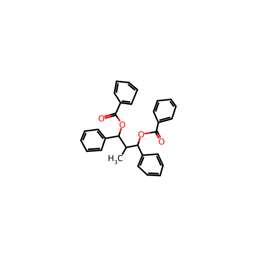 CC(C(OC(=O)c1ccccc1)c1ccccc1)C(OC(=O)c1ccccc1)c1ccccc1